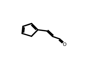 O=C/C=C/C1=CC=CC1